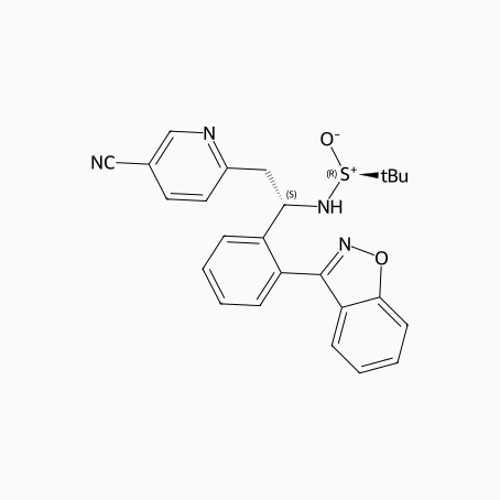 CC(C)(C)[S@+]([O-])N[C@@H](Cc1ccc(C#N)cn1)c1ccccc1-c1noc2ccccc12